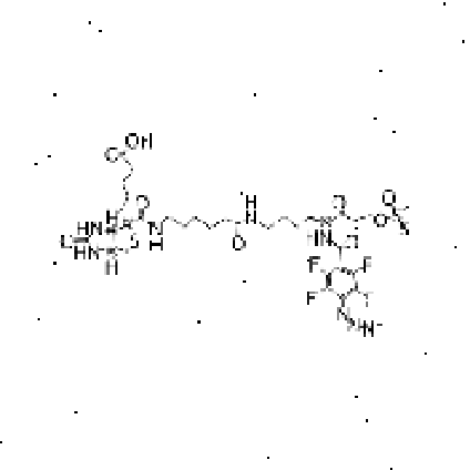 CS(=O)(=S)OCCC(=O)[C@H](CCCCNC(=O)CCCCCNC(=O)[C@@]1(CCCCC(=O)O)SC[C@@H]2NC(=O)N[C@@H]21)NC(=O)c1c(F)c(F)c(N=[N+]=[N-])c(F)c1F